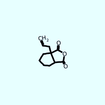 C=CCC12CCCCC1C(=O)OC2=O